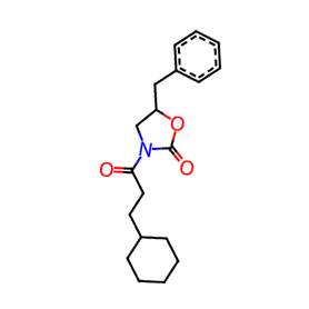 O=C(CCC1CCCCC1)N1CC(Cc2ccccc2)OC1=O